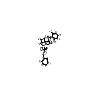 CC[PH](CC)(CC(=O)OCc1ccccc1)C1(C(=O)Nc2c(C)cccc2C)CCC1